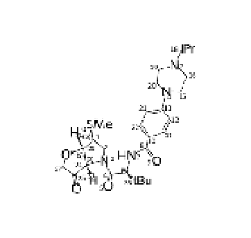 CS[C@H]1CN(C(=O)[C@@H](NC(=O)c2ccc(N3CCN(C(C)C)CC3)cc2)C(C)(C)C)[C@@H]2C(=O)CO[C@H]12